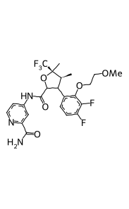 COCCOc1c(C2C(C(=O)Nc3ccnc(C(N)=O)c3)O[C@@](C)(C(F)(F)F)[C@H]2C)ccc(F)c1F